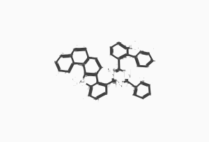 c1ccc(-c2nc(-c3cccc4oc5ccccc5c34)nc(-c3cccc4[se]c5c(ccc6ccc7ccccc7c65)c34)n2)cc1